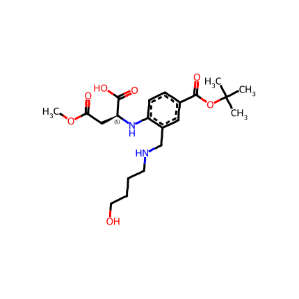 COC(=O)C[C@H](Nc1ccc(C(=O)OC(C)(C)C)cc1CNCCCCO)C(=O)O